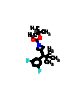 CC(C)(C)OC(=O)N1CC(=C(c2cc(F)cc(F)c2)C(C)(C)C)C1